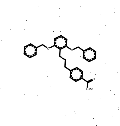 COC(=O)c1ccc(CCCc2c(OCc3ccccc3)cccc2OCc2ccccc2)cc1